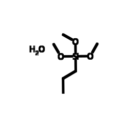 CCC[Si](OC)(OC)OC.O